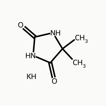 CC1(C)NC(=O)NC1=O.[KH]